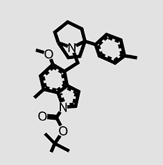 COc1cc(C)c2c(ccn2C(=O)OC(C)(C)C)c1CN1C2CCCC1(c1ccc(C)cc1)CC2